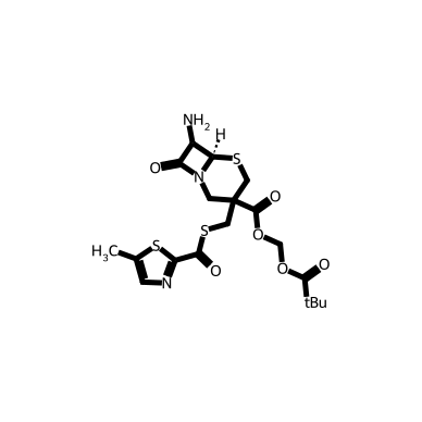 Cc1cnc(C(=O)SCC2(C(=O)OCOC(=O)C(C)(C)C)CS[C@@H]3C(N)C(=O)N3C2)s1